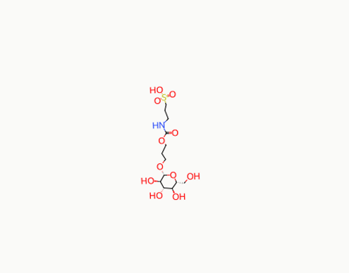 O=C(NCCCS(=O)(=O)O)OCCCO[C@@H]1O[C@H](CO)[C@@H](O)[C@H](O)[C@H]1O